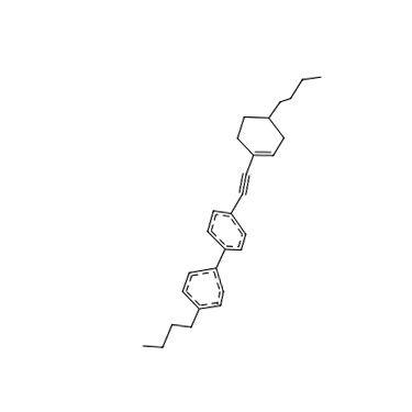 CCCCc1ccc(-c2ccc(C#CC3=CCC(CCCC)CC3)cc2)cc1